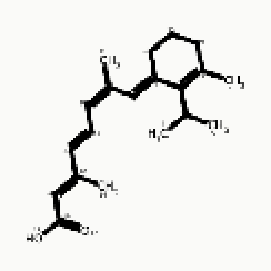 CC1=C(C(C)C)/C(=C/C(C)=C\C=C\C(C)=C\C(=O)O)CCC1